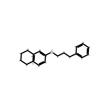 c1ccc(CCCOc2ccc3c(c2)CCCC3)cc1